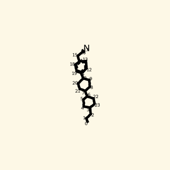 CCCC1CCC(C2CCC(c3ccc(CC#N)cc3)CC2)CC1